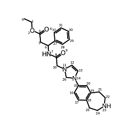 CCOC(=O)CC(NC(=O)CN1C=CN(c2ccc3c(c2)CCNCC3)C1)c1ccccc1